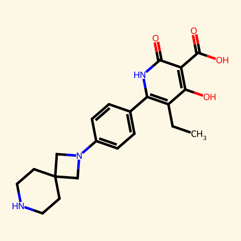 CCc1c(-c2ccc(N3CC4(CCNCC4)C3)cc2)[nH]c(=O)c(C(=O)O)c1O